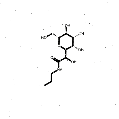 CCCNC(=O)C(O)C1O[C@H](CO)[C@@H](O)[C@H](O)[C@@H]1O